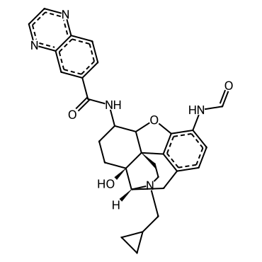 O=CNc1ccc2c3c1OC1C(NC(=O)c4ccc5nccnc5c4)CC[C@@]4(O)[C@@H](C2)N(CC2CC2)CC[C@]314